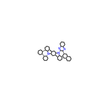 c1ccc2c(c1)-c1ccccc1-n1c3cc4c5ccccc5n(-c5nc6ccccc6nc5-c5ccc6ccccc6c5)c4cc3c3cccc-2c31